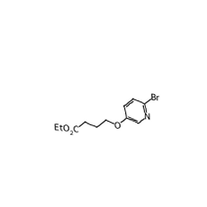 CCOC(=O)CCCOc1ccc(Br)nc1